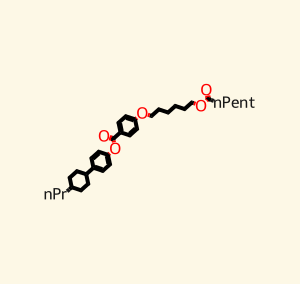 CCCCCC(=O)OCCCCCCOc1ccc(C(=O)Oc2ccc(C3CCC(CCC)CC3)cc2)cc1